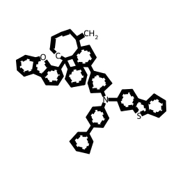 C=C1/C=C\C=C/CC(c2ccccc2)(c2cccc3c2oc2ccccc23)c2cc(-c3ccc(N(c4ccc(-c5ccccc5)cc4)c4ccc5c(c4)sc4ccccc45)cc3)ccc21